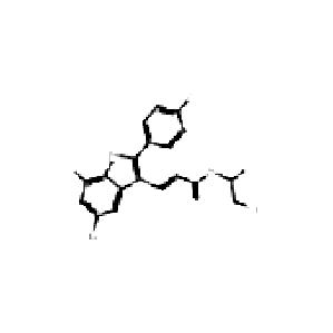 CC(CO)NC(=O)C=Cc1c(-c2ccc(F)cc2)[nH]c2c(F)cc(Br)cc12